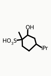 CC(C)C1CCC(C)(S(=O)(=O)O)C(O)C1